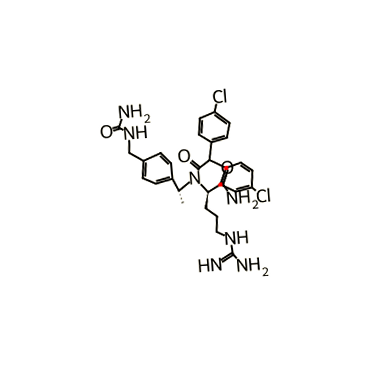 C[C@H](c1ccc(CNC(N)=O)cc1)N(C(=O)C(c1ccc(Cl)cc1)c1ccc(Cl)cc1)[C@H](CCCNC(=N)N)C(N)=O